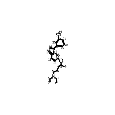 CCN(CC)CCCC(C)Oc1ccc2ncc(-c3cccc(SC)c3)n2n1